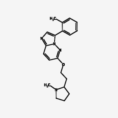 Cc1ccccc1-c1cnc2ccc(OCCC3CCCN3C)nn12